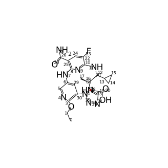 CCOc1ncc(Nc2nc(N[C@H](C3CC3)[C@H](C)NC(=O)O)c(F)cc2C(N)=O)cc1-n1ccnn1